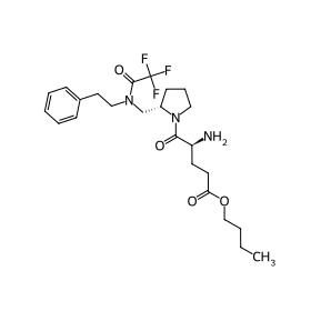 CCCCOC(=O)CC[C@H](N)C(=O)N1CCC[C@H]1CN(CCc1ccccc1)C(=O)C(F)(F)F